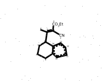 CCOC(=O)C(C#N)=C(C)C1CCCc2ccccc21